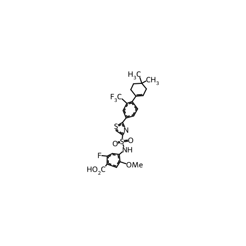 COc1cc(C(=O)O)c(F)cc1NS(=O)(=O)c1csc(-c2ccc(C3=CCC(C)(C)CC3)c(C(F)(F)F)c2)n1